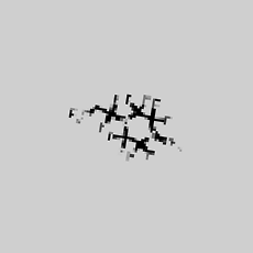 FC(F)(F)CC(F)(F)N1C(F)(F)C(F)(F)N(C(F)(F)F)C(F)(F)C1(F)F